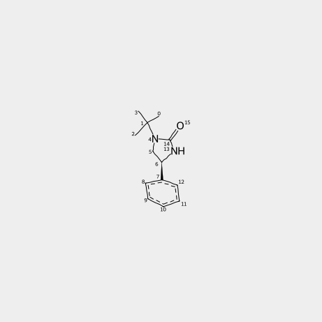 CC(C)(C)N1C[C@H](c2ccccc2)NC1=O